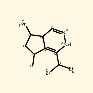 CCCC1CC(C)C2=C(C(CC)CC)NN=CC21